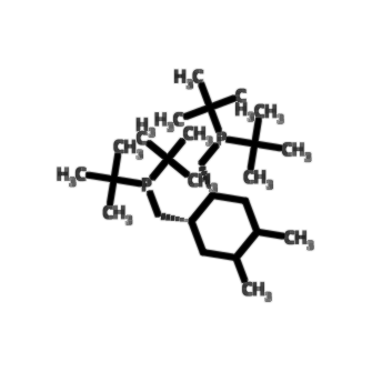 CC1C[C@H](CP(C(C)(C)C)C(C)(C)C)[C@H](CP(C(C)(C)C)C(C)(C)C)CC1C